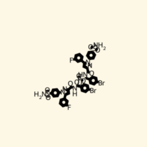 NS(=O)(=O)c1ccc(-n2nc(C(=O)NC(O[PH](=O)OC(NC(=O)c3cc(-c4cccc(F)c4)n(-c4ccc(S(N)(=O)=O)cc4)n3)c3ccc(Br)cc3)c3ccc(Br)cc3)cc2-c2cccc(F)c2)cc1